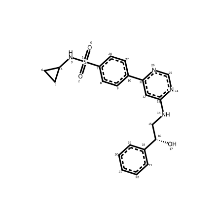 O=S(=O)(NC1CC1)c1ccc(-c2cc(NC[C@H](O)c3ccccc3)ncn2)cc1